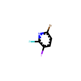 Fc1nc(Br)ccc1I